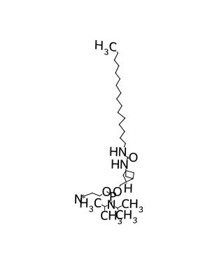 CCCCCCCCCCCCCCCCNC(=O)NC12CC(C1)[C@@H](COP(OCCC#N)N(C(C)C)C(C)C)C2